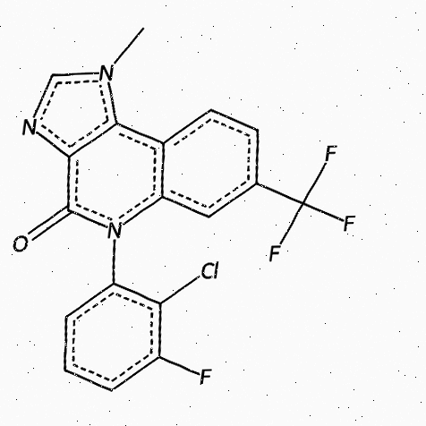 Cn1cnc2c(=O)n(-c3cccc(F)c3Cl)c3cc(C(F)(F)F)ccc3c21